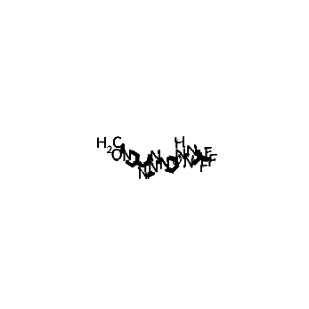 C=CC(=O)N1CCC(c2nccn3c(N4CCC[C@@H](Nc5ncc(C(F)(F)F)cn5)C4)ncc23)CC1